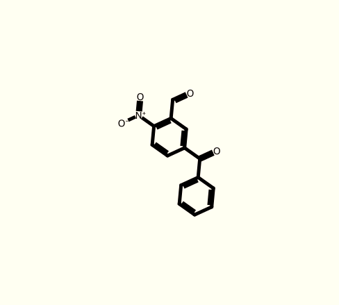 O=Cc1cc(C(=O)c2ccccc2)ccc1[N+](=O)[O-]